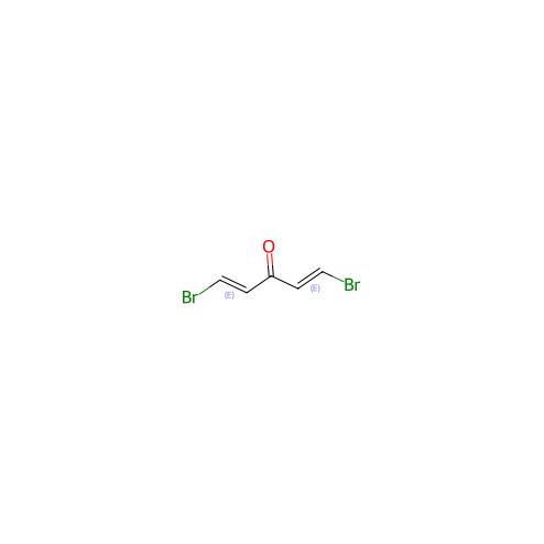 O=C(/C=C/Br)/C=C/Br